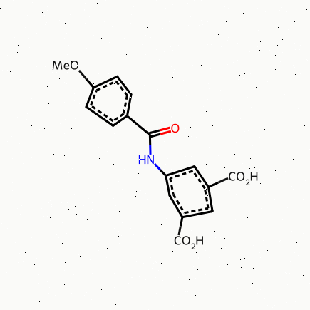 COc1ccc(C(=O)Nc2cc(C(=O)O)cc(C(=O)O)c2)cc1